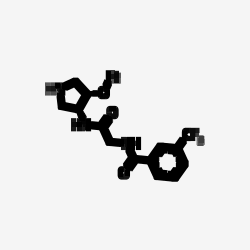 CCO[C@H]1CNC[C@@H]1NC(=O)CNC(=O)c1cccc(C(F)(F)F)c1